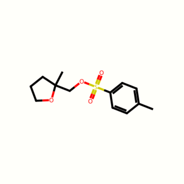 Cc1ccc(S(=O)(=O)OCC2(C)CCCO2)cc1